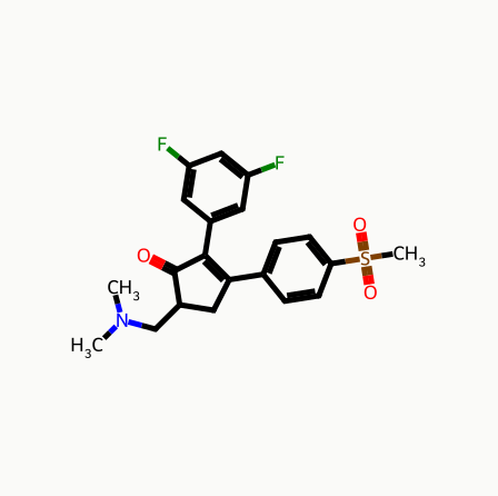 CN(C)CC1CC(c2ccc(S(C)(=O)=O)cc2)=C(c2cc(F)cc(F)c2)C1=O